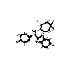 Cc1ccc(Nc2nc3ccccc3n2[C@H]2C[C@H](C)CC(C)(C)C2)cc1